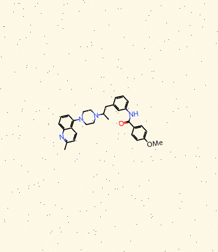 COc1ccc(C(=O)Nc2cccc(CC(C)N3CCN(c4cccc5nc(C)ccc45)CC3)c2)cc1